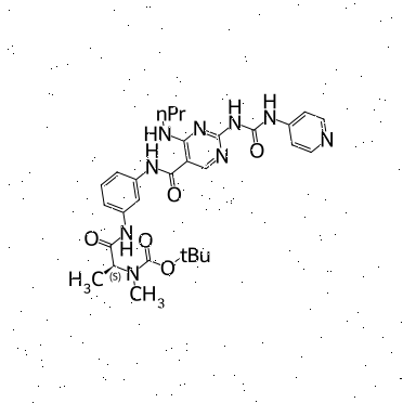 CCCNc1nc(NC(=O)Nc2ccncc2)ncc1C(=O)Nc1cccc(NC(=O)[C@H](C)N(C)C(=O)OC(C)(C)C)c1